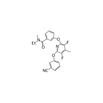 CCN(C)C(=O)c1cccc(Oc2nc(Oc3cccc(C#N)c3)c(F)c(C)c2F)c1